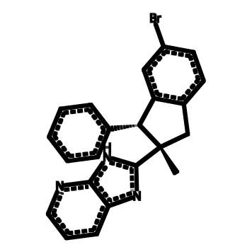 C[C@]1(c2nc3cccnc3[nH]2)Cc2ccc(Br)cc2[C@H]1c1ccccc1